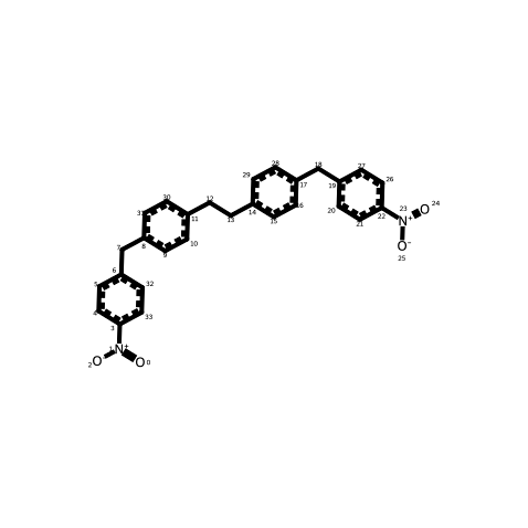 O=[N+]([O-])c1ccc(Cc2ccc(CCc3ccc(Cc4ccc([N+](=O)[O-])cc4)cc3)cc2)cc1